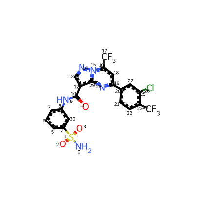 NS(=O)(=O)c1cccc(NC(=O)c2cnn3c(C(F)(F)F)cc(-c4ccc(C(F)(F)F)c(Cl)c4)nc23)c1